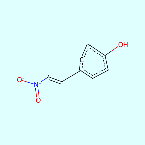 O=[N+]([O-])[C]=Cc1ccc(O)cc1